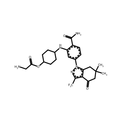 CC1(C)CC(=O)c2c(C(F)(F)F)nn(-c3ccc(C(N)=O)c(NC4CCC(OC(=O)CN)CC4)c3)c2C1